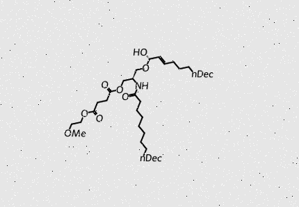 CCCCCCCCCCCCC/C=C/[C@@H](O)OC[C@H](COC(=O)CCC(=O)OCCOC)NC(=O)CCCCCCCCCCCCCCCCC